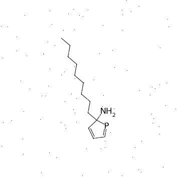 CCCCCCCCCC1(N)C=CC=P1